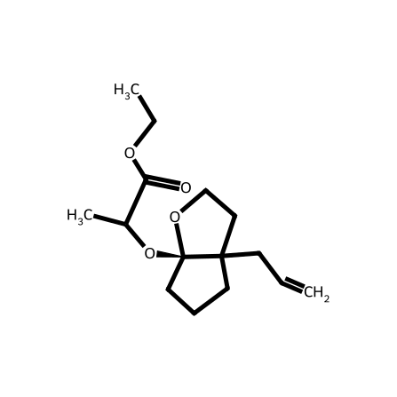 C=CCC12CCC[C@]1(OC(C)C(=O)OCC)OCC2